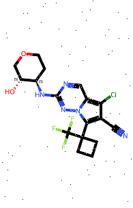 N#Cc1c(Cl)c2cnc(N[C@@H]3CCOC[C@H]3O)nn2c1C1(C(F)(F)F)CCC1